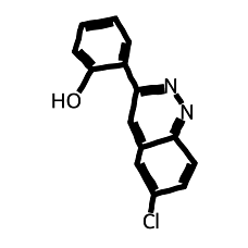 Oc1ccccc1-c1cc2cc(Cl)ccc2nn1